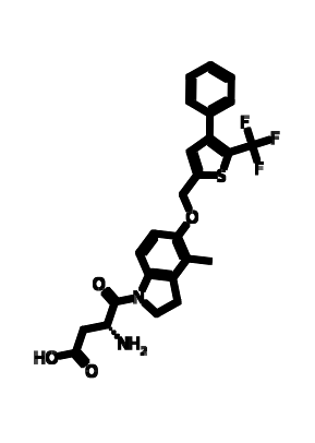 Cc1c(OCc2cc(-c3ccccc3)c(C(F)(F)F)s2)ccc2c1CCN2C(=O)[C@H](N)CC(=O)O